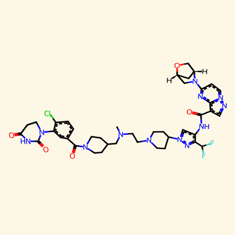 CN(CCN1CCC(n2cc(NC(=O)c3cnn4ccc(N5C[C@H]6C[C@@H]5CO6)nc34)c(C(F)F)n2)CC1)CC1CCN(C(=O)c2ccc(Cl)c(N3CCC(=O)NC3=O)c2)CC1